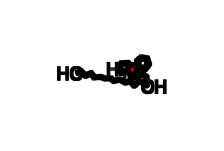 C=C(c1ccccc1)C12CCC(O)C1CC(CCCCCCCCCCO)=C2c1ccccc1